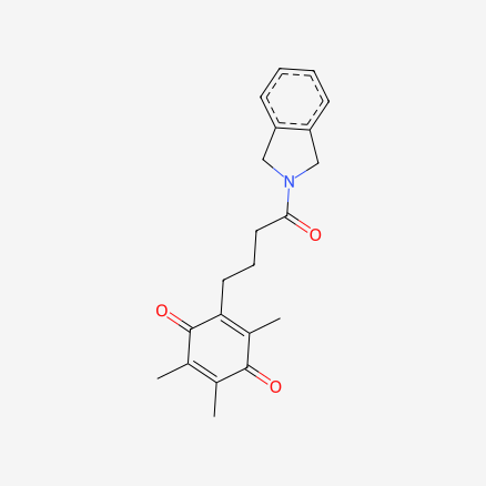 CC1=C(C)C(=O)C(CCCC(=O)N2Cc3ccccc3C2)=C(C)C1=O